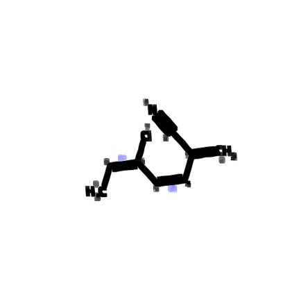 C=C(C#N)/C=C\C(Cl)=C/C